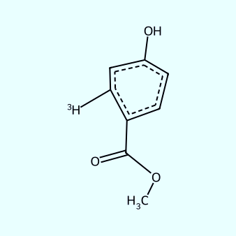 [3H]c1cc(O)ccc1C(=O)OC